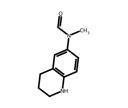 CN(C=O)c1ccc2c(c1)CCCN2